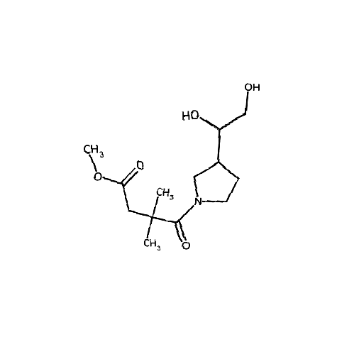 COC(=O)CC(C)(C)C(=O)N1CCC(C(O)CO)C1